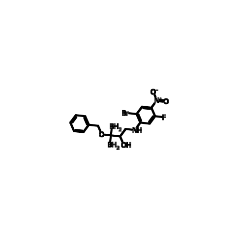 BC(B)(OCc1ccccc1)C(O)CNc1cc(F)c([N+](=O)[O-])cc1Br